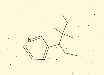 [CH2]CC(c1cccnc1)C(C)(C)CC